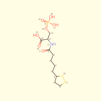 O=C(CCCCC1CCSS1)NC(COP(=O)(O)O)C(=O)O